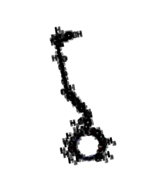 CO[C@H]1C[C@@H]2CC[C@@H](C)[C@@](O)(O2)C(=O)C(=O)N2CCCC[C@H]2C(=O)O[C@H]([C@H](N)C[C@@H]2CC[C@H](n3cc(-c4cnc(N5CCN(c6ncc(C(=O)NCCOCCOCCOCCC(=O)NCCCCn7nc(-c8cc9cc(O)ccc9[nH]8)c8c(N)ncnc87)cn6)CC5)nc4)nn3)[C@H](OC)C2)CC(=O)[C@H](C)/C=C(\C)[C@@H](O)[C@@H](OC)C(=O)[C@H](C)C[C@H](C)/C=C/C=C/C=C/1C